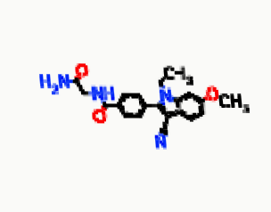 CCn1c(-c2ccc(C(=O)NCC(N)=O)cc2)c(C#N)c2ccc(OC)cc21